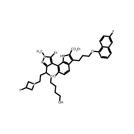 CCOC(=O)c1[nH]c2c(-c3c(C(CCN4CC(F)C4)OCCCCO)nn(C)c3CC)c(Cl)ccc2c1CCCOc1cccc2cc(F)ccc12